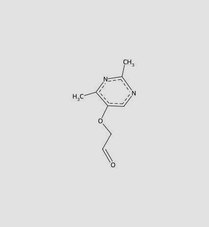 Cc1ncc(OCC=O)c(C)n1